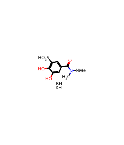 CNN(C)C(=O)c1cc(O)c(O)c(S(=O)(=O)O)c1.[KH].[KH]